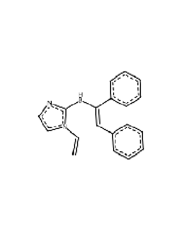 C=Cn1ccnc1BC(=Cc1ccccc1)c1ccccc1